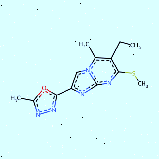 CCc1c(SC)nc2nc(-c3nnc(C)o3)cn2c1C